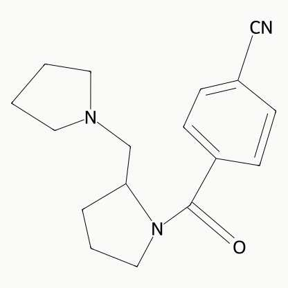 N#Cc1ccc(C(=O)N2CCCC2CN2CCCC2)cc1